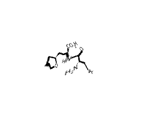 CC(C)C[C@H](N)C(=O)N[C@@H](C[C@@H]1CCCO1)C(=O)O